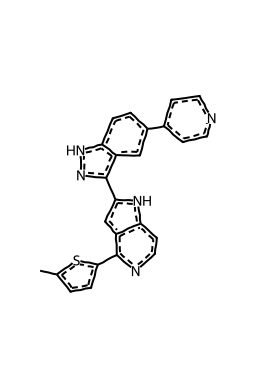 Cc1ccc(-c2nccc3[nH]c(-c4n[nH]c5ccc(-c6ccncc6)cc45)cc23)s1